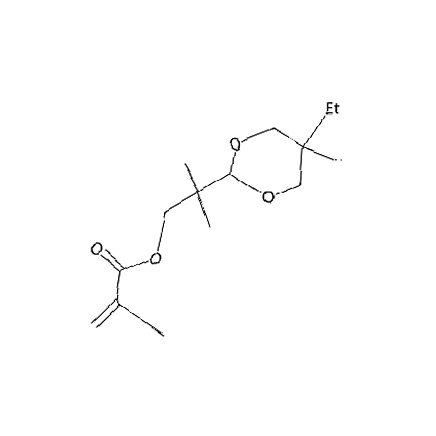 [CH2]C1(CC)COC(C(C)(C)COC(=O)C(=C)C)OC1